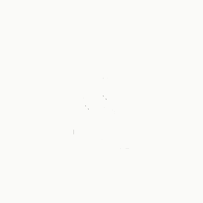 Cc1ccc(-c2c(C)cn(C)c2C(=O)NC2CCCCC2OCc2ccccc2)cc1